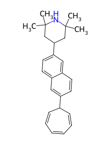 CC1(C)CC(c2ccc3cc(C4C=CC=CC=C4)ccc3c2)CC(C)(C)N1